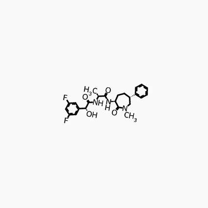 C[C@H](NC(=O)[C@H](O)c1cc(F)cc(F)c1)C(=O)N[C@H]1CC[C@H](c2ccccc2)CN(C)C1=O